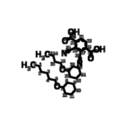 CCCCCCOC1CCCCC1.CCCCOC1CCCCC1.N#Cc1c(C(=O)O)ccc(C(=O)O)c1C#N